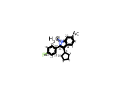 CC(=O)c1ccc2c(C3CCCC3)c(-c3ccc(F)cc3)n(C)c2c1